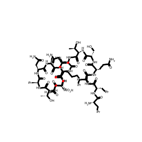 CC(C)C[C@H](NC(=O)[C@H](CC(C)C)NC(=O)[C@@H](N)CC(C)C)C(=O)N[C@@H](CCC(N)=O)C(=O)N[C@@H](CO)C(=O)N[C@H](C(=O)N[C@@H](CCC(N)=O)C(=O)N[C@@H](CC(N)=O)C(=O)N[C@H](C(=O)N[C@H](C(=O)N[C@H](C(=O)N[C@@H](CC(N)=O)C(=O)N[C@@H](C)C(=O)N[C@@H](CCCNC(=N)N)C(=O)N[C@@H](CC(N)=O)C(=O)O)C(C)C)[C@@H](C)O)C(C)C)[C@@H](C)O